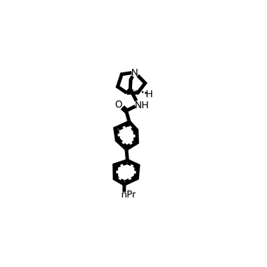 CCCc1ccc(-c2ccc(C(=O)N[C@@H]3CN4CCC3CC4)cc2)cc1